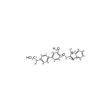 CC(C(=O)O)c1ccc(-c2ccc(OCc3nc4ccccc4n3C)cc2)cc1.O